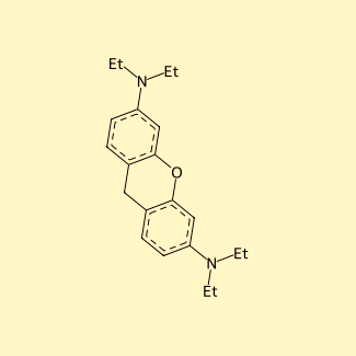 CCN(CC)c1ccc2c(c1)Oc1cc(N(CC)CC)ccc1C2